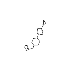 N#Cc1ccc(C2CCC(CC3CO3)CC2)cc1